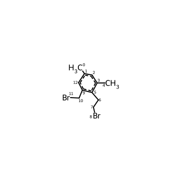 Cc1cc(C)c(CCBr)c(CBr)c1